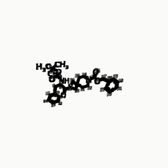 CC(C)(C)OC(=O)NC(Cc1ccccc1)C(=O)N1CC2(CCN(C(=O)OCc3ccccc3)CC2)C1